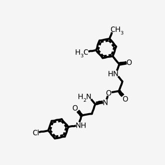 Cc1cc(C)cc(C(=O)NCC(=O)O/N=C(\N)CC(=O)Nc2ccc(Cl)cc2)c1